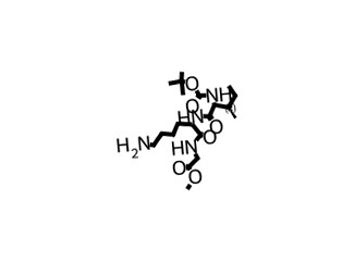 CC[C@@H](C)C(NC(=O)OC(C)(C)C)C(=O)NC(CCCCN)C(=O)NCC(=O)OC